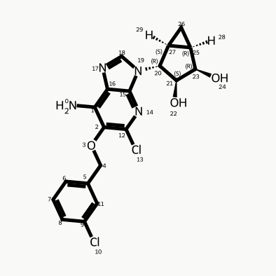 Nc1c(OCc2cccc(Cl)c2)c(Cl)nc2c1ncn2[C@H]1[C@H](O)[C@H](O)[C@@H]2C[C@@H]21